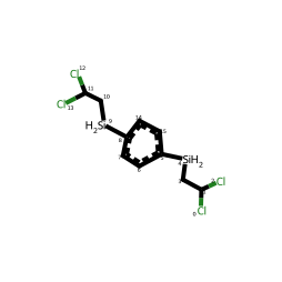 ClC(Cl)C[SiH2]c1ccc([SiH2]CC(Cl)Cl)cc1